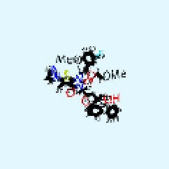 COCCO[C@@H](Cn1c(=O)n(C(C)(C)C(=O)CC(C)(C)[Si](O)(c2ccccc2)c2ccccc2)c(=O)c2c(C)c(-n3cccn3)sc21)c1cc(F)ccc1OC